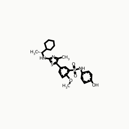 COc1ccc(-c2sc(N[C@H](C)C3CCCCC3)nc2C)cc1S(=O)(=O)Nc1ccc(O)cc1